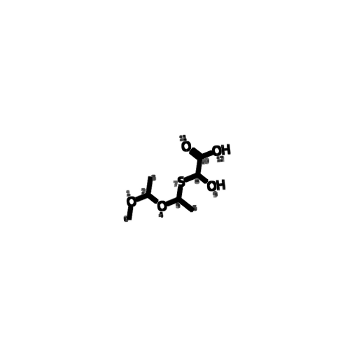 COC(C)OC(C)SC(O)C(=O)O